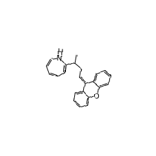 CC(CC=C1c2ccccc2Oc2ccccc21)C1=CC=CC=CN1